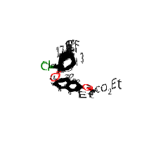 CCOC(=O)C(CC)Oc1ccc2ccc(Oc3ccc(C(F)(F)F)cc3Cl)cc2c1